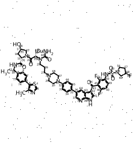 Cc1ncsc1-c1ccc([C@H](C)NC(=O)[C@@H]2C[C@@H](O)CN2C(=O)[C@@H](N(CCCN2CCN(c3ccc(-c4cnc5[nH]cc(C(=O)c6c(F)ccc(NS(=O)(=O)N7CC[C@@H](F)C7)c6F)c5c4)cc3)CC2)C(N)=O)C(C)(C)C)cc1